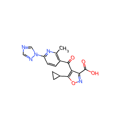 Cc1nc(-n2cncn2)ccc1C(=O)c1c(C(=O)O)noc1C1CC1